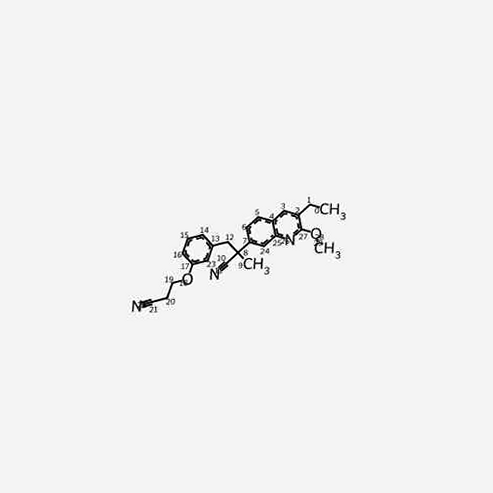 CCc1cc2ccc(C(C)(C#N)Cc3cccc(OCCC#N)c3)cc2nc1OC